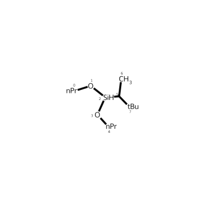 CCCO[SiH](OCCC)C(C)C(C)(C)C